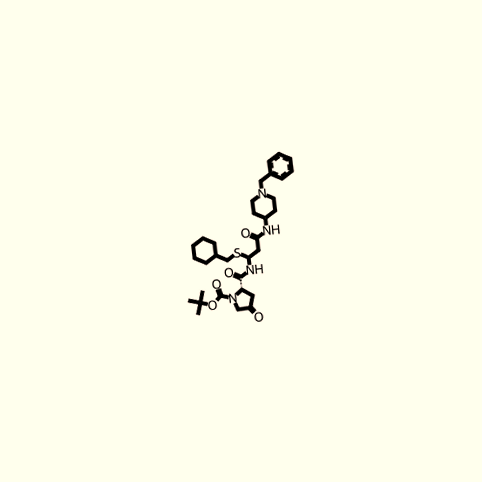 CC(C)(C)OC(=O)N1CC(=O)C[C@H]1C(=O)NC(CC(=O)NC1CCN(Cc2ccccc2)CC1)SCC1CCCCC1